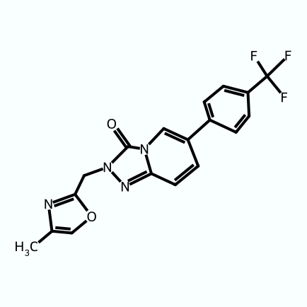 Cc1coc(Cn2nc3ccc(-c4ccc(C(F)(F)F)cc4)cn3c2=O)n1